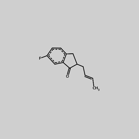 CC=CCC1Cc2ccc(F)cc2C1=O